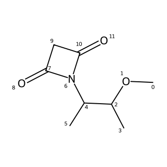 COC(C)C(C)N1C(=O)CC1=O